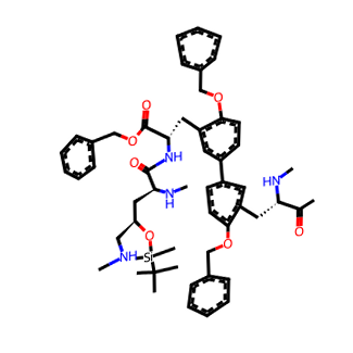 CNC[C@@H](C[C@H](NC)C(=O)N[C@@H](Cc1cc(-c2ccc(OCc3ccccc3)c(C[C@H](NC)C(C)=O)c2)ccc1OCc1ccccc1)C(=O)OCc1ccccc1)O[Si](C)(C)C(C)(C)C